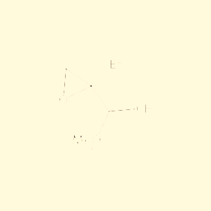 CCC1(C(C)OC)CO1